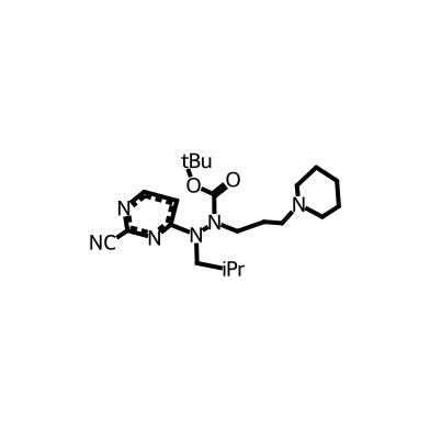 CC(C)CN(c1ccnc(C#N)n1)N(CCCN1CCCCC1)C(=O)OC(C)(C)C